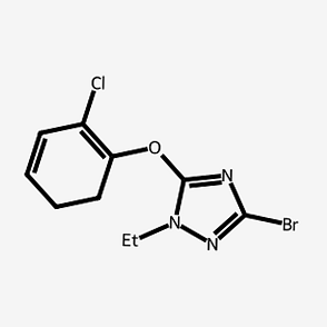 CCn1nc(Br)nc1OC1=C(Cl)C=CCC1